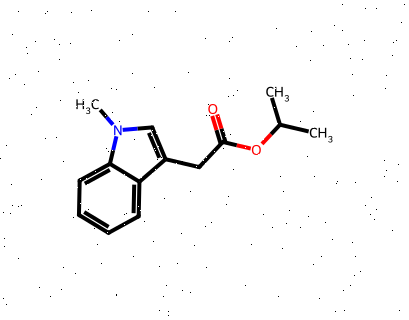 CC(C)OC(=O)Cc1cn(C)c2ccccc12